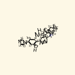 CO[C@@H]1/C(=C\c2ncc(-c3ccc(-n4ccnc4)cc3O)nn2)CC2N[C@]1(C)CC2(F)F